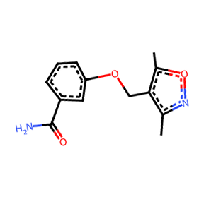 Cc1noc(C)c1COc1cccc(C(N)=O)c1